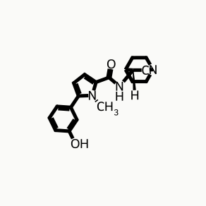 Cn1c(C(=O)N[C@H]2CN3CCC2CC3)ccc1-c1cccc(O)c1